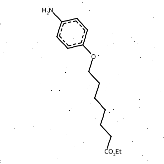 CCOC(=O)CCCCCCOc1ccc(N)cc1